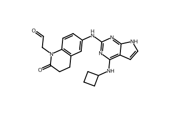 O=CCN1C(=O)CCc2cc(Nc3nc(NC4CCC4)c4cc[nH]c4n3)ccc21